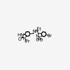 CCN(/N=C/c1ccc2[nH]c(=O)n(C(C)C)c2c1)C1=NS(=O)(=O)c2cc(Br)ccc21